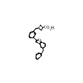 O=C(O)C1CN(Cc2cccc(-c3cc4cc(Cc5ccccc5)ccc4o3)c2)C1